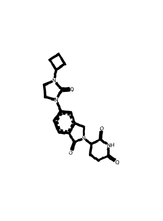 O=C1CCC(N2Cc3cc(N4CCN(C5CCC5)C4=O)ccc3C2=O)C(=O)N1